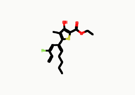 C=C/C(F)=C\C(=C/CCCC)c1sc(C(=O)OCC)c(O)c1C